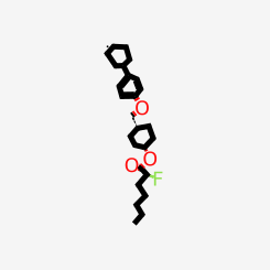 CCCCC[C@H](F)C(=O)O[C@H]1CC[C@H](COc2ccc(C3CC[CH]CC3)cc2)CC1